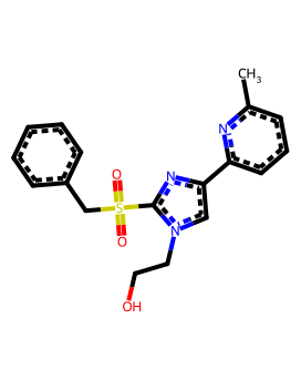 Cc1cccc(-c2cn(CCO)c(S(=O)(=O)Cc3ccccc3)n2)n1